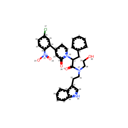 O=C(C(Cc1ccccc1)n1ccc(-c2cc(Cl)ccc2[N+](=O)[O-])cc1=O)N(CCO)CCc1c[nH]c2ccccc12